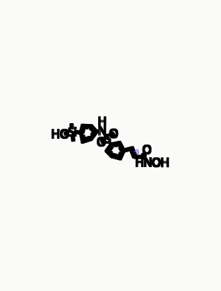 C[Si](C)(O)c1ccc(NS(=O)(=O)c2cccc(/C=C/C(=O)NO)c2)cc1